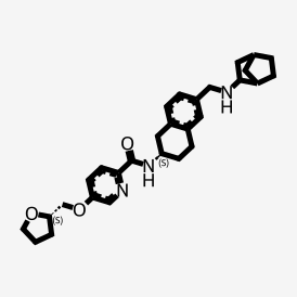 O=C(N[C@H]1CCc2cc(CNC3CC4CCC3C4)ccc2C1)c1ccc(OC[C@@H]2CCCO2)cn1